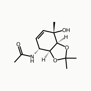 CC(=O)N[C@@H]1C=C[C@](C)(O)[C@H]2OC(C)(C)O[C@@H]12